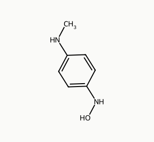 CNc1ccc(NO)cc1